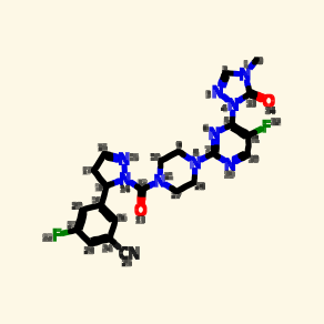 Cn1cnn(-c2nc(N3CCN(C(=O)N4N=CCC4c4cc(F)cc(C#N)c4)CC3)ncc2F)c1=O